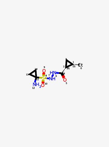 CC[C@H]1C[C@H]1C(=O)NNS(=O)(=O)C1(N)CC1